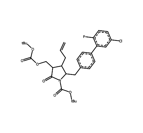 C=CCC1C(COC(=O)OC(C)(C)C)C(=O)N(C(=O)OC(C)(C)C)C1Cc1ccc(-c2cc(Cl)ccc2F)cc1